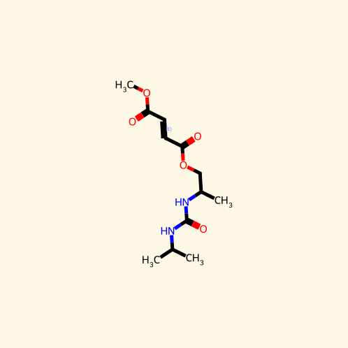 COC(=O)/C=C/C(=O)OCC(C)NC(=O)NC(C)C